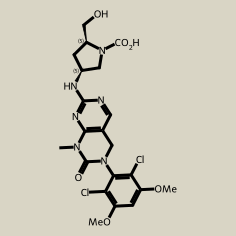 COc1cc(OC)c(Cl)c(N2Cc3cnc(N[C@H]4C[C@@H](CO)N(C(=O)O)C4)nc3N(C)C2=O)c1Cl